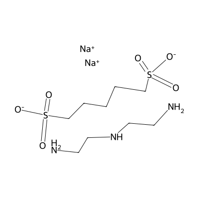 NCCNCCN.O=S(=O)([O-])CCCCCS(=O)(=O)[O-].[Na+].[Na+]